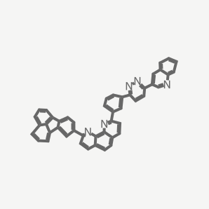 c1cc(-c2ccc(-c3cnc4ccccc4c3)nn2)cc(-c2ccc3ccc4ccc(-c5ccc6c(c5)-c5cccc7cccc-6c57)nc4c3n2)c1